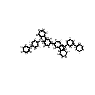 C1=CCCC(c2cccc(-n3c4c(c5cc(-c6ccc7c(c6)c6ccccc6n7-c6ccc(-c7ccccc7)cc6)ccc53)C=CCC4)c2)=C1